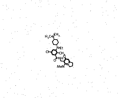 CCN(c1cc(Cl)cc(C(=O)NCc2c(NC)n3c(cc2=O)CCC3)c1C)[C@H]1CC[C@H](N(C)C)CC1